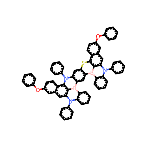 c1ccc(Oc2ccc3c4c5c(cc3c2)N(c2ccccc2)c2ccccc2B5c2cc3c(cc2S4)N(c2ccccc2)c2c4c(cc5cc(Oc6ccccc6)ccc25)N(c2ccccc2)c2ccccc2B34)cc1